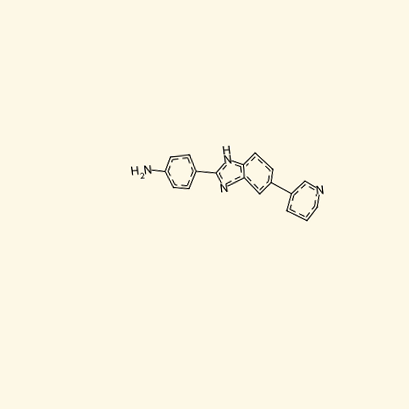 Nc1ccc(-c2nc3cc(-c4cccnc4)ccc3[nH]2)cc1